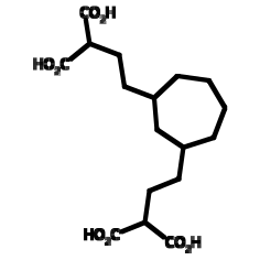 O=C(O)C(CCC1CCCCC(CCC(C(=O)O)C(=O)O)C1)C(=O)O